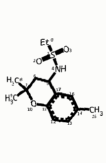 CCS(=O)(=O)NC1CC(C)(C)Oc2ccc(C)cc21